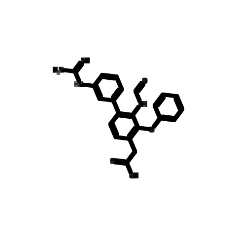 N=C(N)Nc1cccc(-c2ccc(CC(=O)O)c(Oc3ccccc3)c2NC=O)c1